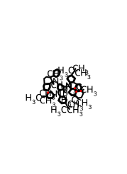 CC(C)(C)c1ccc(N2c3ccc(C(C)(C)C)cc3B3c4cc5c(cc4N(c4ccc(C(C)(C)C)cc4-c4ccccc4)c4cc(N6c7ccccc7C7(C)CCc8ccccc8C67C)cc2c43)C(C)(C)CCC5(C)C)cc1